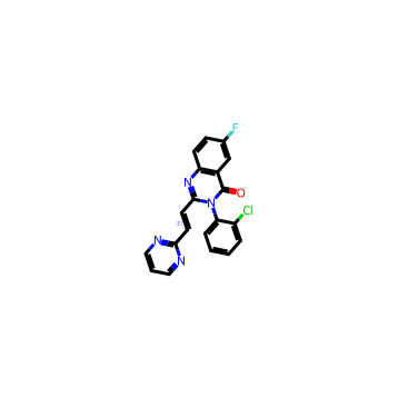 O=c1c2cc(F)ccc2nc(/C=C/c2ncccn2)n1-c1ccccc1Cl